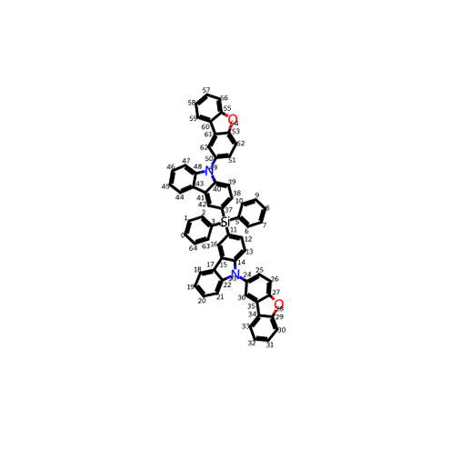 c1ccc([Si](c2ccccc2)(c2ccc3c(c2)c2ccccc2n3-c2ccc3oc4ccccc4c3c2)c2ccc3c(c2)c2ccccc2n3-c2ccc3oc4ccccc4c3c2)cc1